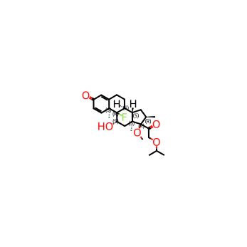 CO[C@]1(C(=O)COC(C)C)[C@H](C)C[C@H]2[C@@H]3CCC4=CC(=O)C=C[C@]4(C)[C@@]3(F)[C@@H](O)C[C@@]21C